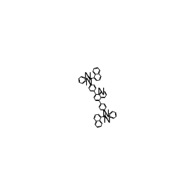 c1ccc2c(-c3nc4ccccc4n3-c3ccc(-c4ccc(-c5ccc(-n6c(-c7cccc8ccccc78)nc7ccccc76)cc5)c5ncccc45)cc3)cccc2c1